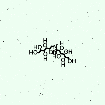 CN(C[C@H](O)[C@@H](O)[C@H](O)[C@H](O)CO)C(=O)[C@H](O)[C@@H](O)[C@H](O)[C@H](O)CO